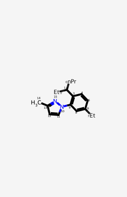 CCCC(CC)c1ccc(CC)cc1-n1ccc(C)n1